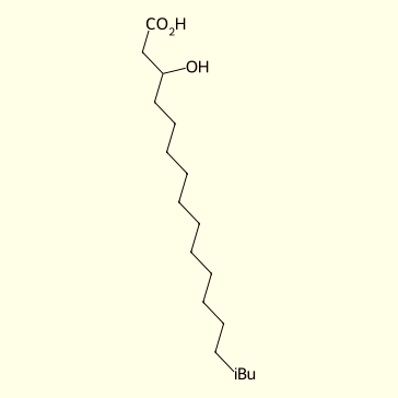 CCC(C)CCCCCCCCCCCC(O)CC(=O)O